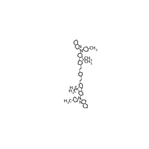 Cc1ccc(N(c2ccc3c(c2)C(C)(C)c2cc(/C=C/c4ccc(/C=C/c5ccc6c(c5)C(C)(C)c5cc(N(c7ccc(C)cc7)c7ccc8ccccc8n7)ccc5-6)cc4)ccc2-3)c2ccc3ccccc3n2)cc1